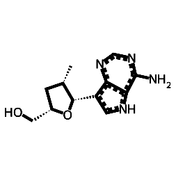 C[C@H]1C[C@@H](CO)O[C@H]1c1c[nH]c2c(N)ncnc12